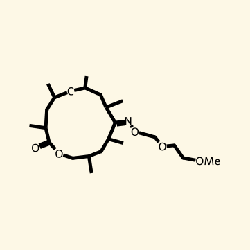 COCCOCON=C1C(C)CC(C)COC(=O)C(C)CC(C)CC(C)CC1C